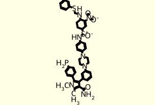 Cc1c(C(N)=O)c(-c2cccc(N3CCN(c4ccc(N[S+]([O-])C5C=C([N+](=O)[O-])C(NCSc6ccccc6)CC5)cc4)CC3)c2)c(-c2ccc(P)cc2)n1C